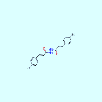 CCc1ccc(C=CC(=O)NNC(=O)C=Cc2ccc(CC)cc2)cc1